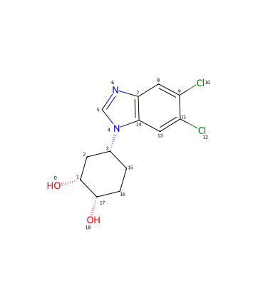 O[C@@H]1C[C@H](n2cnc3cc(Cl)c(Cl)cc32)CC[C@@H]1O